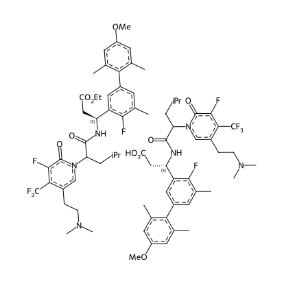 CCOC(=O)C[C@H](NC(=O)C(CC(C)C)n1cc(CCN(C)C)c(C(F)(F)F)c(F)c1=O)c1cc(-c2c(C)cc(OC)cc2C)cc(C)c1F.COc1cc(C)c(-c2cc(C)c(F)c([C@H](CC(=O)O)NC(=O)C(CC(C)C)n3cc(CCN(C)C)c(C(F)(F)F)c(F)c3=O)c2)c(C)c1